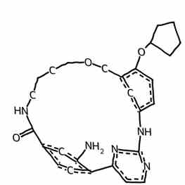 Nc1cc2ccc1-c1ccnc(n1)Nc1ccc(OC3CCCC3)c(c1)COCCCCNC2=O